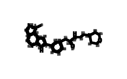 Cn1ncc2cnc3[nH]c(-c4cccc(CC(=O)NCCN5CCOCC5)c4)cc3c21